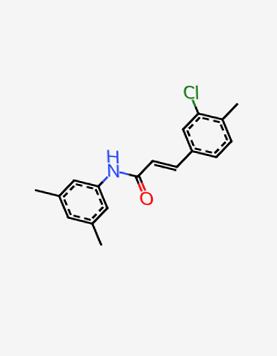 Cc1cc(C)cc(NC(=O)C=Cc2ccc(C)c(Cl)c2)c1